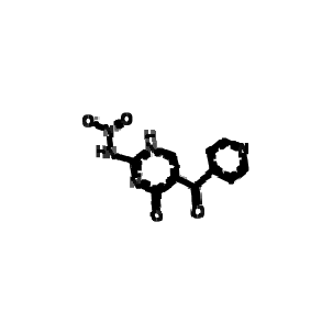 O=C(c1ccncc1)c1c[nH]c(N[N+](=O)[O-])nc1=O